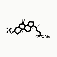 COC(=O)CC[C@@H](C)C1CCC2C3C(=O)CC4CC(O[Si](C)(C)C)CC[C@]4(C)C3CC[C@@]21C